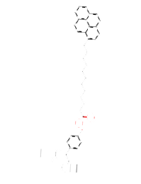 CCC(C)c1ccc(COC(=O)CCCCCCCCCCCc2ccc3ccc4cccc5ccc2c3c45)cc1